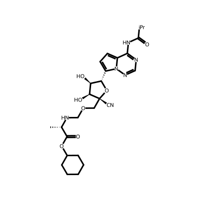 CC(C)C(=O)Nc1ncnn2c([C@@H]3O[C@](C#N)(COCN[C@@H](C)C(=O)OC4CCCCC4)[C@@H](O)[C@H]3O)ccc12